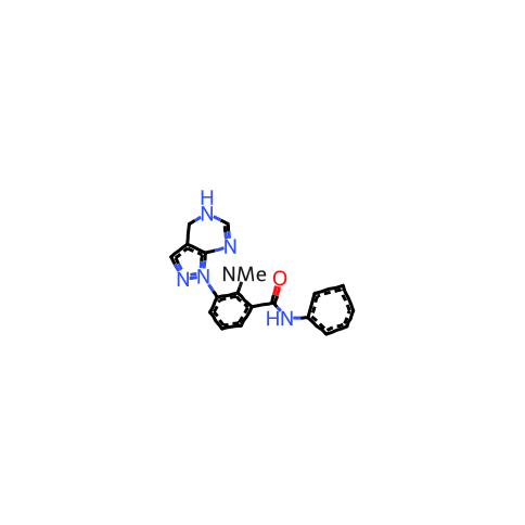 CNc1c(C(=O)Nc2ccccc2)cccc1-n1ncc2c1N=CNC2